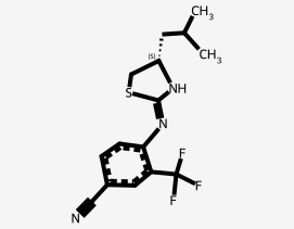 CC(C)C[C@H]1CSC(=Nc2ccc(C#N)cc2C(F)(F)F)N1